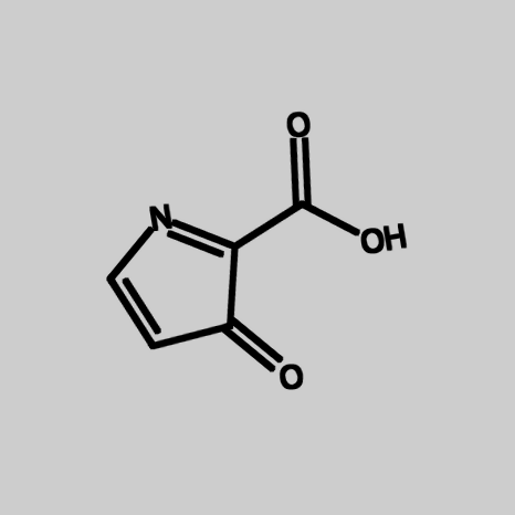 O=C(O)C1=NC=CC1=O